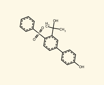 CC(C)(O)c1cc(-c2ccc(O)cc2)ccc1S(=O)(=O)c1ccccc1